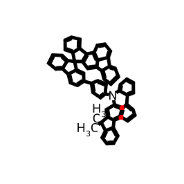 CC1(C)c2ccccc2-c2ccc(N(c3ccc(-c4ccc5c(c4)C4(c6ccccc6-5)c5ccccc5-c5c4cc4c6c(cccc56)-c5ccccc5-4)cc3)c3ccccc3-c3ccccc3)cc21